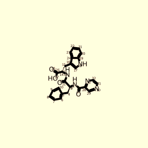 O=C(N[C@@H](Cc1ccccc1)C(=O)N[C@@H](Cc1c[nH]c2ccccc12)C(=O)O)c1cnccn1